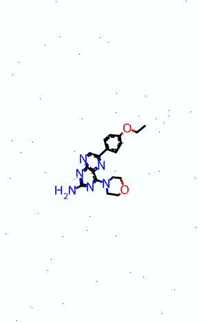 CCOc1ccc(-c2cnc3nc(N)nc(N4CCOCC4)c3n2)cc1